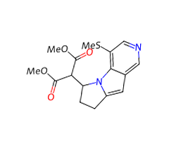 COC(=O)C(C(=O)OC)C1CCc2cc3cncc(SC)c3n21